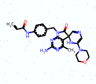 C=CC(=O)Nc1ccc(CNC(=O)C2(c3cnc(N)nc3C)C=NC=C(N3CCOCC3)N2)cc1